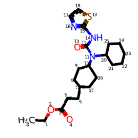 CCOC(=O)CCC1CCC(N(C(=O)Nc2nccs2)C2CCCCC2)CC1